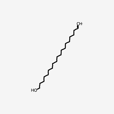 [CH]=CCCCCCCCCCCCCCCCCCCO